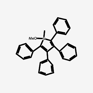 CO[Si]1(C)C(c2ccccc2)=C(c2ccccc2)C(c2ccccc2)=C1c1ccccc1